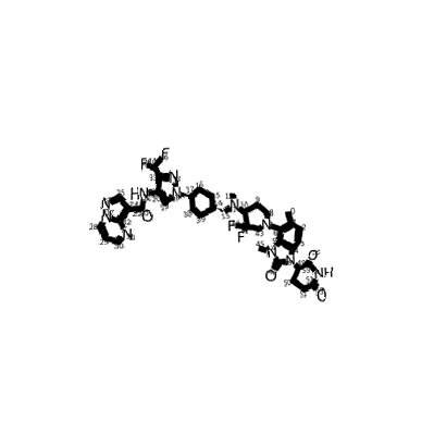 Cc1ccc2c(c1N1CCC(N(C)C[C@H]3CC[C@H](n4cc(NC(=O)c5cnn6cccnc56)c(C(F)F)n4)CC3)C(F)(F)C1)n(C)c(=O)n2C1CCC(=O)NC1=O